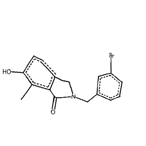 Cc1c(O)ccc2c1C(=O)N(Cc1cccc(Br)c1)C2